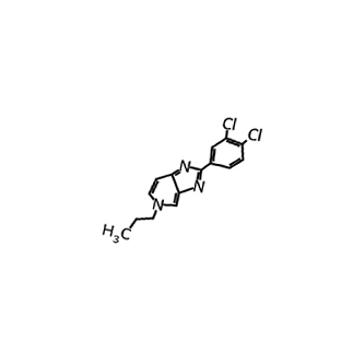 CCCn1ccc2nc(-c3ccc(Cl)c(Cl)c3)nc-2c1